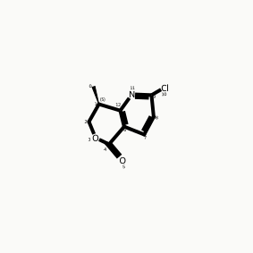 C[C@@H]1COC(=O)c2ccc(Cl)nc21